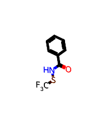 O=C(NSC(F)(F)F)c1ccccc1